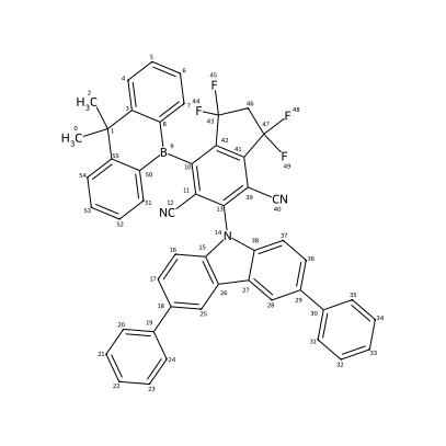 CC1(C)c2ccccc2B(c2c(C#N)c(-n3c4ccc(-c5ccccc5)cc4c4cc(-c5ccccc5)ccc43)c(C#N)c3c2C(F)(F)CC3(F)F)c2ccccc21